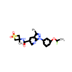 CC(F)Oc1cccc(-n2nc(C(C)C)c3cc(C(=O)NC4(C)CS(=O)(=O)C4)cnc32)c1